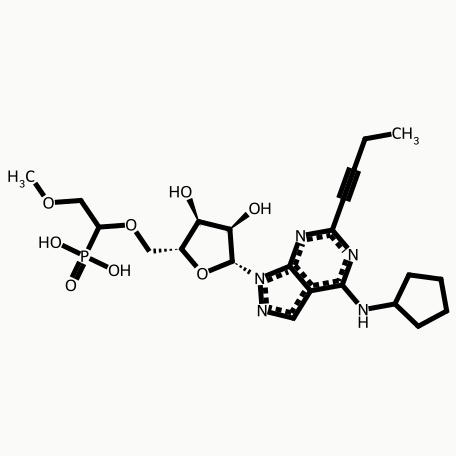 CCC#Cc1nc(NC2CCCC2)c2cnn([C@@H]3O[C@H](COC(COC)P(=O)(O)O)[C@@H](O)[C@H]3O)c2n1